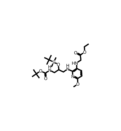 CCOC(=O)CNc1ccc(OC)nc1NCC(CNC(=O)OC(C)(C)C)O[Si](C)(C)C(C)(C)C